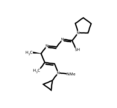 CNN(C=C(C)[C@@H](C)/N=C/N=C(\S)N1CCCC1)C1CC1